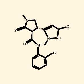 CCc1ccccc1NC(=O)[C@H]1C(=S)N(C)C[C@@H]1C1=CC(Cl)NN1C